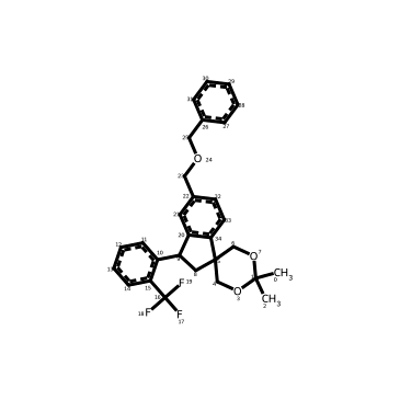 CC1(C)OCC2(CO1)CC(c1ccccc1C(F)(F)F)c1cc(COCc3ccccc3)ccc12